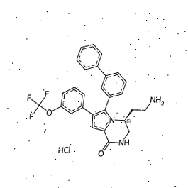 Cl.NCC[C@H]1CNC(=O)c2cc(-c3cccc(OC(F)(F)F)c3)c(-c3cccc(-c4ccccc4)c3)n21